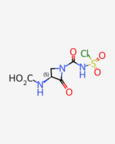 O=C(O)N[C@H]1CN(C(=O)NS(=O)(=O)Cl)C1=O